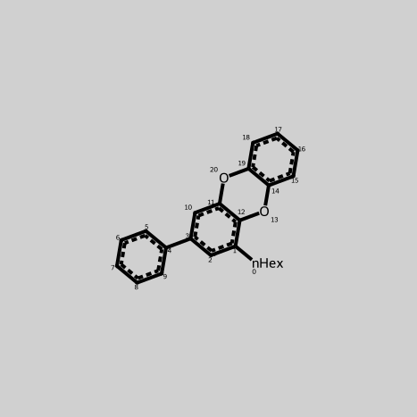 CCCCCCc1[c]c(-c2ccccc2)cc2c1Oc1ccccc1O2